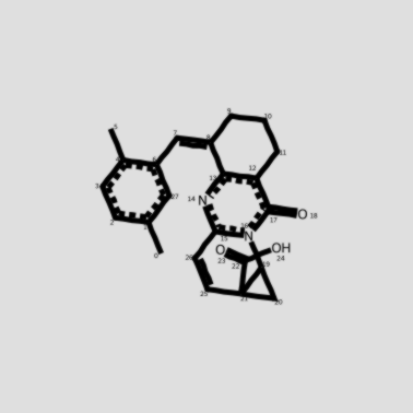 Cc1ccc(C)c(/C=C2/CCCc3c2nc2n(c3=O)C3CC3(C(=O)O)C=C2)c1